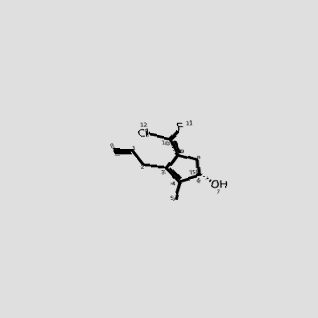 C=CCC1=C(C)[C@@H](O)CC1=C(F)Cl